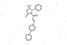 O=C(/C=C/c1ccc(-c2ccccc2)cc1)N1C(=O)OC2(CC2)C1c1ccccc1